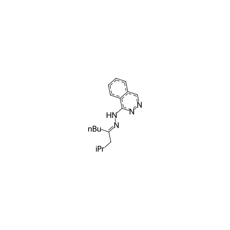 CCCC/C(CC(C)C)=N\Nc1nncc2ccccc12